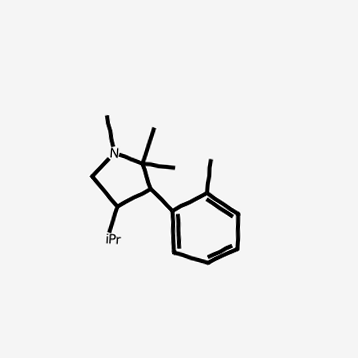 Cc1ccccc1C1C(C(C)C)CN(C)C1(C)C